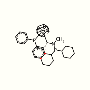 C[C@@H](N(C)P(C1CCCCC1)C1CCCCC1)[C@@]12[CH]3[CH]4[CH]5[C]1(P(c1ccccc1)c1ccccc1)[Fe]45321678[CH]2[CH]1[CH]6[CH]7[CH]28